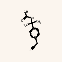 CC(C)(NC(=O)O)c1ccc(CC#N)cc1